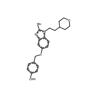 COc1ccc(CSc2ccc3c(c2)nc(C(C)(C)C)n3CCC2CCOCC2)cc1